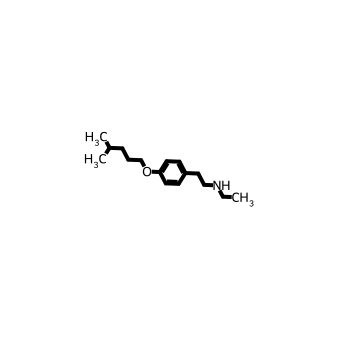 CCNCCc1ccc(OCCCC(C)C)cc1